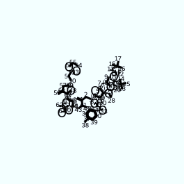 C=C(CC[C@@H]1O[C@H](C[C@@H](CO[Si](C)(C)C(C)(C)C)O[Si](C)(C)C(C)(C)C)C(OC)[C@H]1CS(=O)(=O)c1ccc(C)cc1)C(C)C[C@@H](CC[C@@H]1O[C@@H](CCC2OCCO2)CC1=C)OS(C)(=O)=O